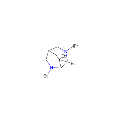 CCN1CC2CN(C(C)C)CC1C(CC)(CC)C2